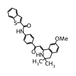 COc1ccc2c(c1)C(=CC(=O)c1ccc(NC(=O)c3cc4ccccc4s3)cc1)NC(C)(C)C2